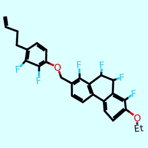 C=CCCc1ccc(OCc2ccc3c(c2F)C(F)C(F)c2c-3ccc(OCC)c2F)c(F)c1F